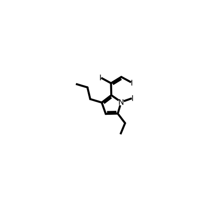 CCCc1cc(CC)n(I)c1/C(I)=C\I